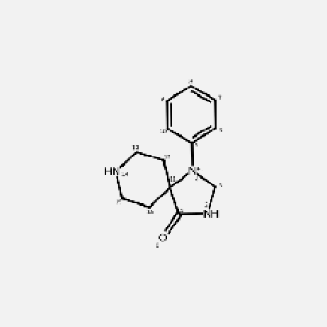 O=C1NC[N+](c2ccccc2)C12CCNCC2